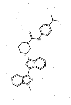 CN(C)c1ccc(NC(=O)N2CCC[C@@H](c3nc(-c4nn(C)c5ccccc45)c4ccccn34)C2)cc1